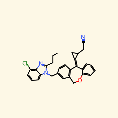 CCCc1nc2c(Cl)cccc2n1Cc1ccc2c(c1)COc1ccccc1C2=C1CC1CC#N